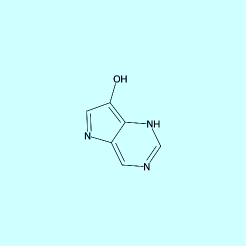 Oc1cnc2cnc[nH]c1-2